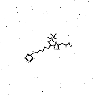 CC(C)(C)[Si](C)(C)OC(CCCCCCc1ccccc1)c1nc(COC=O)co1